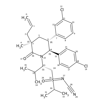 C=CC[C@@]1(C)C[C@H](c2cccc(Cl)c2)[C@@H](c2ccc(Cl)cc2)N([C@H](CS(=O)(=NC#N)C(C)C)C(C)C)C1=O